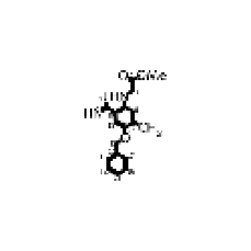 COC(=O)CNc1cc(C)c(OCc2ccccc2)cc1C(=N)I